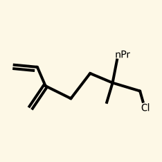 C=CC(=C)CCC(C)(CCl)CCC